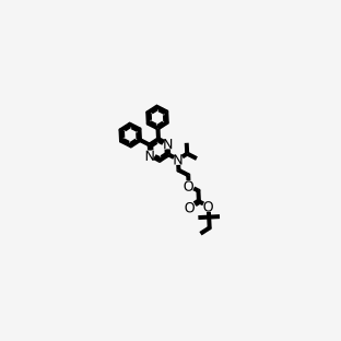 CCC(C)(C)OC(=O)COCCN(c1cnc(-c2ccccc2)c(-c2ccccc2)n1)C(C)C